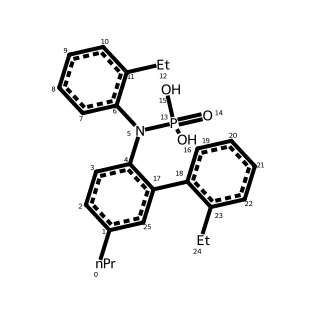 CCCc1ccc(N(c2ccccc2CC)P(=O)(O)O)c(-c2ccccc2CC)c1